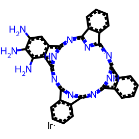 Nc1cc2c3nc4nc(nc5[nH]c(nc6nc(nc([nH]3)c2c(N)c1N)-c1ccccc1-6)c1ccccc51)-c1ccccc1-4.[Ir]